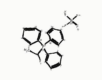 CC(F)[P+](c1ccccc1)(c1ccccc1)c1ccccc1.F[B-](F)(F)F